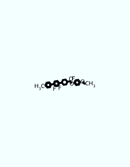 CCOc1ccc(OC(=O)C2CCC(c3ccc(-c4ccc(C)cc4)c(F)c3F)CC2)c(F)c1